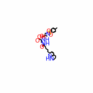 Cc1ccc(S(=O)(=O)N2CC(C(=O)NC(CNC(=O)CCCCc3ccc4c(n3)NCCC4)C(=O)O)C2)cc1